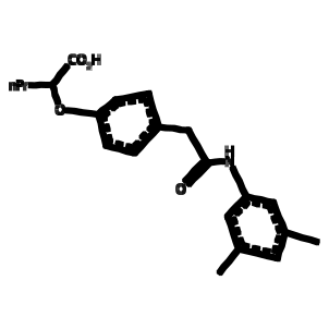 CCCC(Oc1ccc(CC(=O)Nc2cc(C)cc(C)c2)cc1)C(=O)O